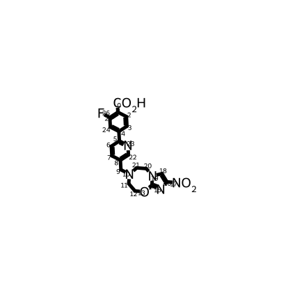 O=C(O)c1ccc(-c2ccc(CN3CCOc4nc([N+](=O)[O-])cn4CC3)cn2)cc1F